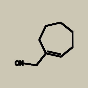 O=NCC1=CCCCCC1